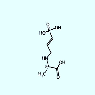 C[C@H](NCC=CP(=O)(O)O)C(=O)O